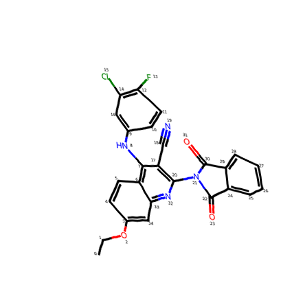 CCOc1ccc2c(Nc3ccc(F)c(Cl)c3)c(C#N)c(N3C(=O)c4ccccc4C3=O)nc2c1